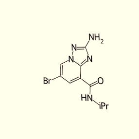 CC(C)NC(=O)c1cc(Br)cn2nc(N)nc12